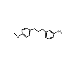 COc1ccc(CCCc2cccc(N)c2)cc1